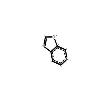 C1=[N+]c2ccncc2O1